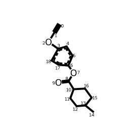 C#COc1ccc(OC(=O)C2CCC(C)CC2)cc1